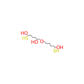 OC(S)CCCCCOCC(O)CCCC(O)S